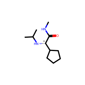 CNC(=O)[C@@H](NC(C)C)C1CCCC1